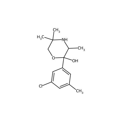 Cc1cc(Cl)cc(C2(O)OCC(C)(C)NC2C)c1